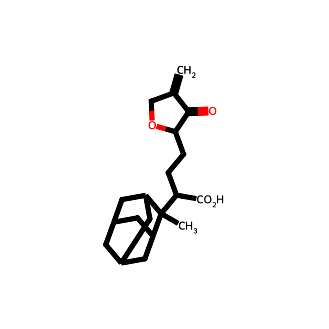 C=C1COC(CCC(C(=O)O)C2(C)C3CC4CC(C3)CC2C4)C1=O